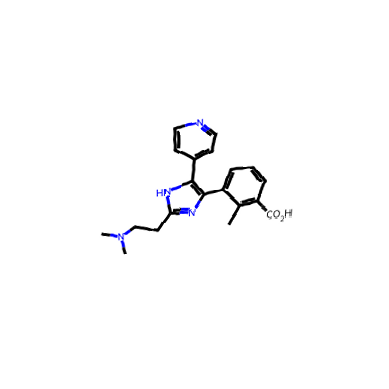 Cc1c(C(=O)O)cccc1-c1nc(CCN(C)C)[nH]c1-c1ccncc1